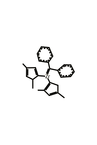 CC1=CC(C)[C]([Zr]([C]2=C(C)C=C(C)C2)=[C](c2ccccc2)c2ccccc2)=C1